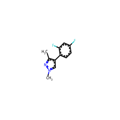 Cc1nn(C)cc1-c1ccc(F)cc1F